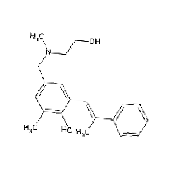 CC(=Cc1cc(CN(C)CCO)cc(C)c1O)c1ccccc1